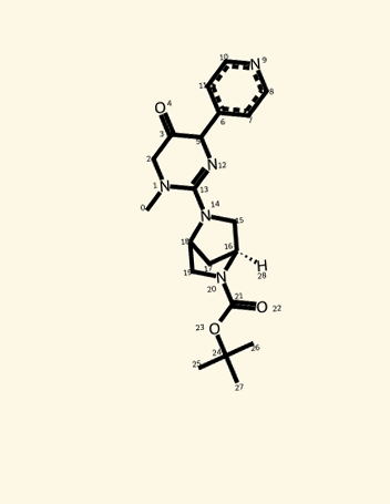 CN1CC(=O)C(c2ccncc2)N=C1N1C[C@@H]2CC1CN2C(=O)OC(C)(C)C